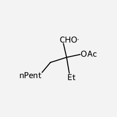 CCCCCCC([C]=O)(CC)OC(C)=O